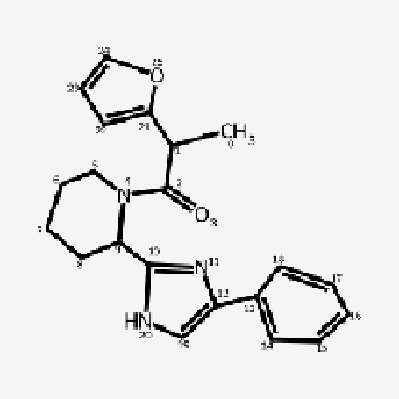 CC(C(=O)N1CCCCC1c1nc(-c2ccccc2)c[nH]1)c1ccco1